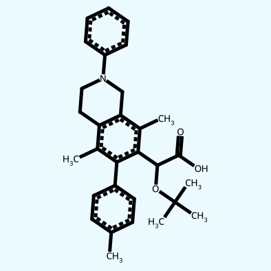 Cc1ccc(-c2c(C)c3c(c(C)c2C(OC(C)(C)C)C(=O)O)CN(c2ccccc2)CC3)cc1